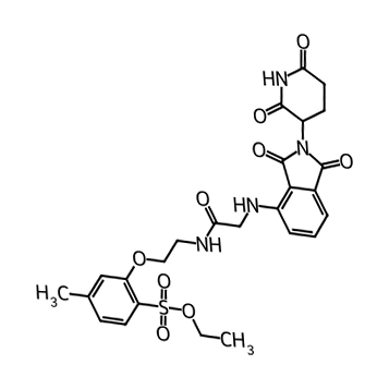 CCOS(=O)(=O)c1ccc(C)cc1OCCNC(=O)CNc1cccc2c1C(=O)N(C1CCC(=O)NC1=O)C2=O